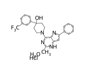 Cc1nc(N2CCC(O)(c3cccc(C(F)(F)F)c3)CC2)c2nc(-c3ccccc3)cc-2[nH]1.Cl.O